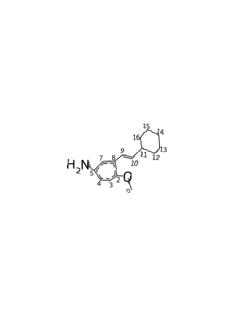 COc1ccc(N)cc1C=CC1CCCCC1